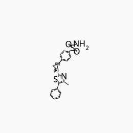 Cc1nc([C@@H]2C[C@H]2c2ccc(S(N)(=O)=O)cc2)sc1-c1ccccc1